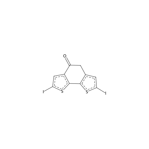 O=C1Cc2cc(I)sc2-c2sc(I)cc21